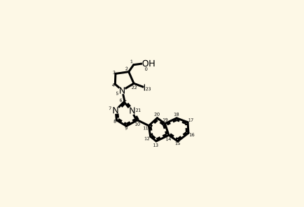 OCC1CCN(c2nccc(-c3ccc4ccccc4c3)n2)C1I